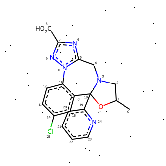 CC1CN2Cc3nc(C(=O)O)nn3-c3ccc(Cl)cc3C2(c2ccccn2)O1